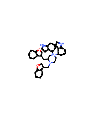 c1cc([N+]2(c3cccc4[nH]ccc34)CCN(Cc3coc4ccccc34)C(Cc3coc4ccccc34)C2)c2cc[nH]c2c1